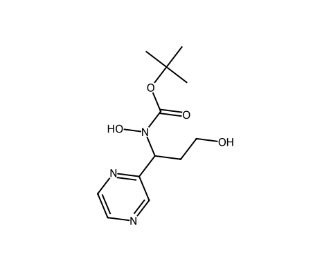 CC(C)(C)OC(=O)N(O)C(CCO)c1cnccn1